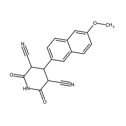 COc1ccc2cc(C3C(C#N)C(=O)NC(=O)C3C#N)ccc2c1